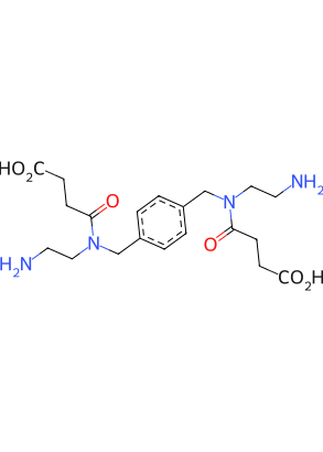 NCCN(Cc1ccc(CN(CCN)C(=O)CCC(=O)O)cc1)C(=O)CCC(=O)O